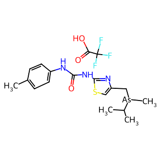 Cc1ccc(NC(=O)Nc2nc(C[As](C)C(C)C)cs2)cc1.O=C(O)C(F)(F)F